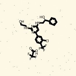 O=C(O)C(F)(F)F.OCCNc1nc(NC[C@H](O)c2ccccc2)cc(-c2ccc(C(F)(F)F)c(Cl)c2)n1